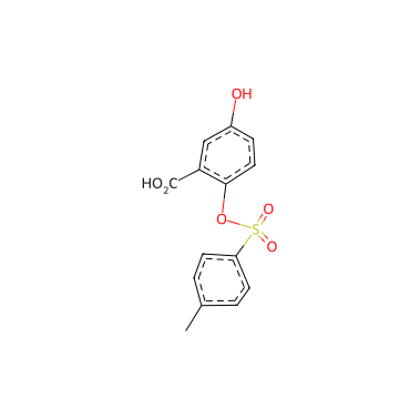 Cc1ccc(S(=O)(=O)Oc2ccc(O)cc2C(=O)O)cc1